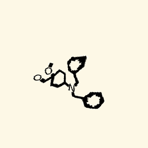 COC1(C=O)CCC(N(Cc2ccccc2)Cc2ccccc2)CC1